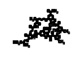 CCn1nc(C)cc1C(=O)Nc1nc2cc(C(N)=O)cc(OC)c2n1C/C=C/Cn1c(NC(=O)c2cc(C)nn2CC)nc2cc(C(N)=O)cc(OCCCN(C)C(=O)CNC(=O)CCN3C(=O)CC(SC[C@H](N)C(=O)O)C3=O)c21